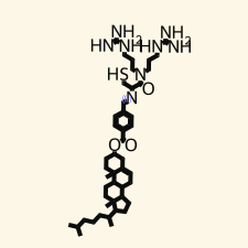 CC(C)CCCC(C)C1CCC2C3CC=C4CC(OC(=O)c5ccc(/C=N/C(CS)C(=O)N(CCCNC(=N)N)CCCNC(=N)N)cc5)CCC4(C)C3CCC12C